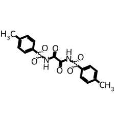 Cc1ccc(S(=O)(=O)NC(=O)C(=O)NS(=O)(=O)c2ccc(C)cc2)cc1